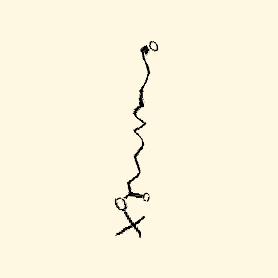 CC(C)(C)OC(=O)CCCCCCCCCCC=O